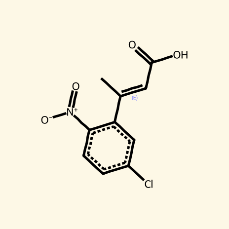 C/C(=C\C(=O)O)c1cc(Cl)ccc1[N+](=O)[O-]